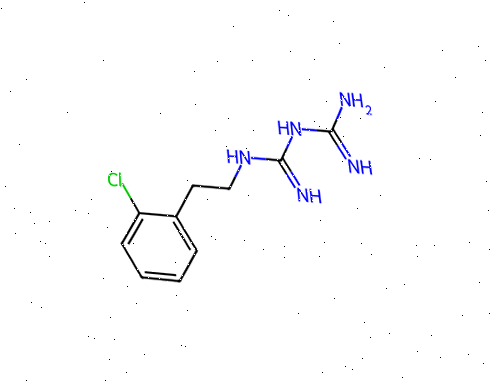 N=C(N)NC(=N)NCCc1ccccc1Cl